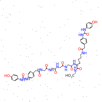 O=C(O)CNC(=O)[C@H](CCCCNC(=O)Cc1ccc(NC(=O)Nc2ccc(O)cc2)cc1)NC(=O)CNC(=O)CNC(=O)CNC(=O)CNC(=O)Cc1ccc(NC(=O)Nc2ccc(O)cc2)cc1